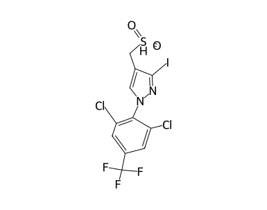 O=[SH](=O)Cc1cn(-c2c(Cl)cc(C(F)(F)F)cc2Cl)nc1I